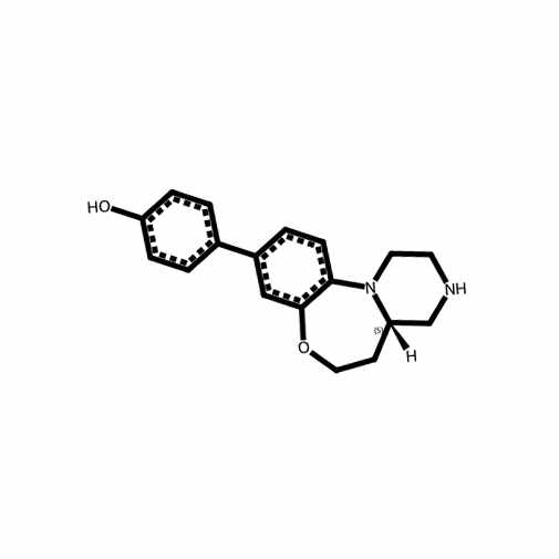 Oc1ccc(-c2ccc3c(c2)OCC[C@H]2CNCCN32)cc1